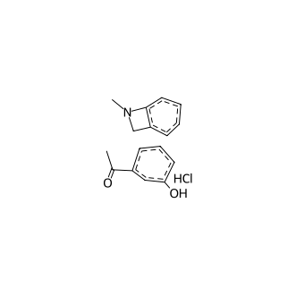 CC(=O)c1cccc(O)c1.CN1Cc2ccccc21.Cl